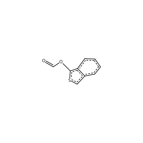 O=COc1scc2ccccc12